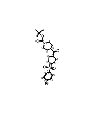 CC(C)(C)OC(=O)N1CCC(C(=O)C2CCN(S(=O)(=O)c3ccc(Br)cc3)CC2)CC1